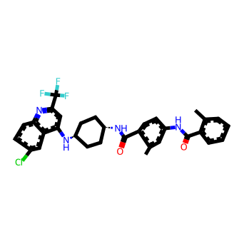 Cc1ccccc1C(=O)Nc1ccc(C(=O)N[C@H]2CC[C@@H](Nc3cc(C(F)(F)F)nc4ccc(Cl)cc34)CC2)c(C)c1